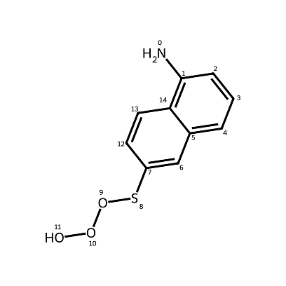 Nc1cccc2cc(SOOO)ccc12